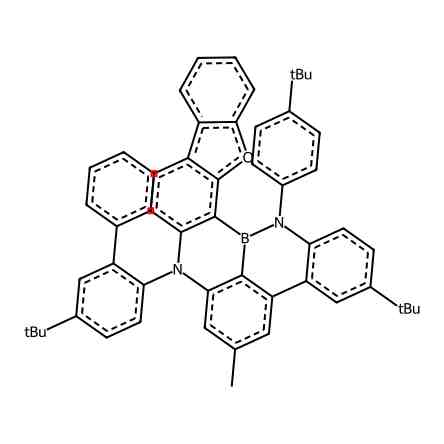 Cc1cc2c3c(c1)N(c1ccc(C(C)(C)C)cc1-c1ccccc1)c1ccc4c(oc5ccccc54)c1B3N(c1ccc(C(C)(C)C)cc1)c1ccc(C(C)(C)C)cc1-2